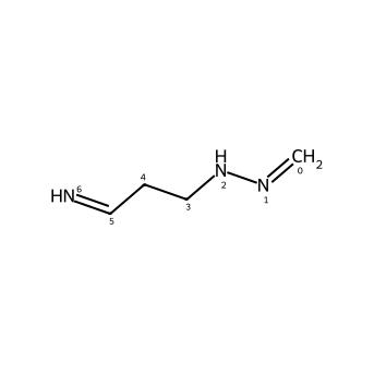 C=NNCCC=N